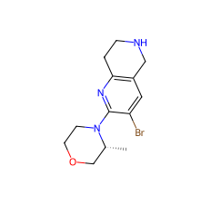 C[C@@H]1COCCN1c1nc2c(cc1Br)CNCC2